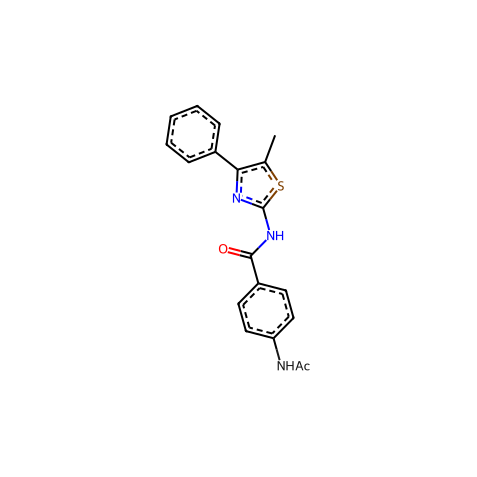 CC(=O)Nc1ccc(C(=O)Nc2nc(-c3ccccc3)c(C)s2)cc1